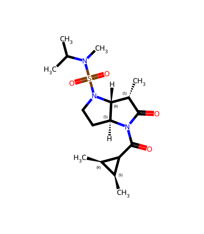 CC(C)N(C)S(=O)(=O)N1CC[C@H]2[C@H]1[C@H](C)C(=O)N2C(=O)C1[C@@H](C)[C@H]1C